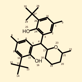 Cc1cc(C(c2cc(C)cc(C(C)(C)C)c2O)C2CCCC(C)O2)c(O)c(C(C)(C)C)c1